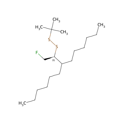 CCCCCCC(CCCCCC)[C@@H](CF)SSC(C)(C)C